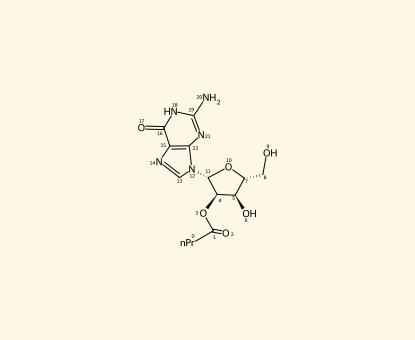 CCCC(=O)O[C@@H]1[C@H](O)[C@@H](CO)O[C@H]1n1cnc2c(=O)[nH]c(N)nc21